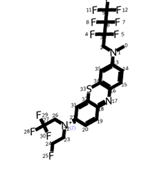 CN(CC(F)(F)C(F)(F)C(F)(F)F)c1ccc2nc3cc/c(=[N+](\CCF)CC(F)(F)F)cc-3sc2c1